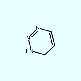 [C]1=CCNN=N1